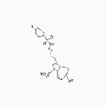 CC(C)c1ccc2c(CCCCNS(=O)(=O)c3ccc(F)cc3)cc(C(=O)O)c-2cc1